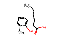 CCCCCC(=O)O.COc1ccccc1O